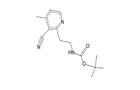 Cc1ccnc(CCNC(=O)OC(C)(C)C)c1C#N